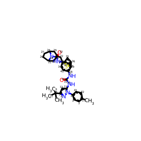 Cc1ccc(-n2nc(C(C)(C)C)cc2NC(=O)Nc2ccc(CC3CC4CCC(C3)N4C(=O)Nc3cccs3)cc2)cc1